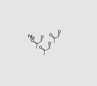 CC(=O)C=O.CC(=O)C=O.CC(=O)C=O.[Pd].[Pd]